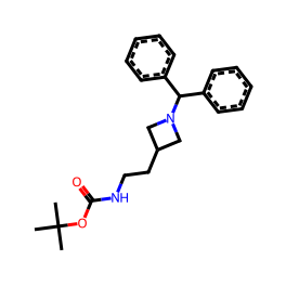 CC(C)(C)OC(=O)NCCC1CN(C(c2ccccc2)c2ccccc2)C1